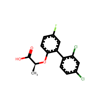 C[C@H](Oc1ccc(F)cc1-c1ccc(Cl)cc1Cl)C(=O)O